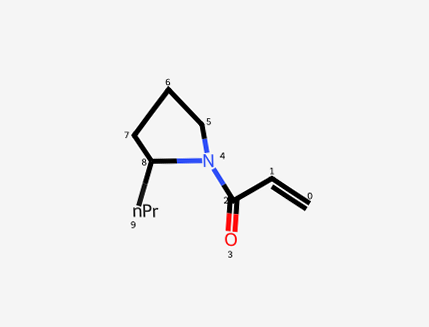 C=CC(=O)N1CCCC1CCC